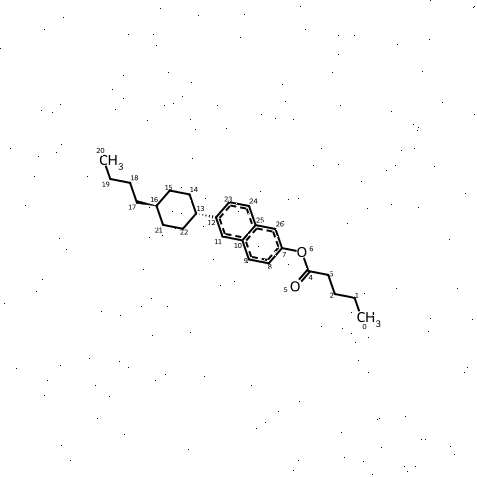 CCCCC(=O)Oc1ccc2cc([C@H]3CC[C@H](CCCC)CC3)ccc2c1